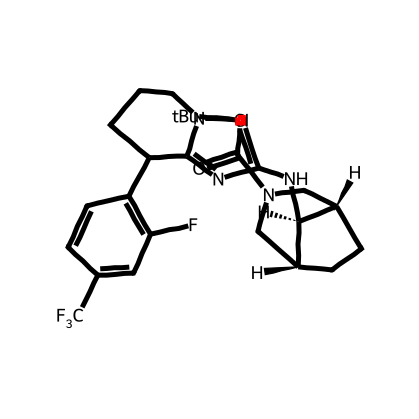 CC(C)(C)OC(=O)N1C[C@H]2CC[C@@H](C1)[C@@H]2Nc1nc2n(n1)CCCC2c1ccc(C(F)(F)F)cc1F